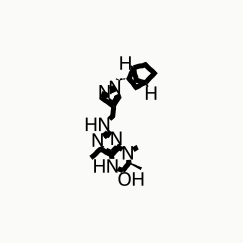 Cc1nc(NCc2cnn(C[C@H]3C[C@@H]4CC[C@H]3C4)c2)nc2c1NC(O)[C@H](C)N2C